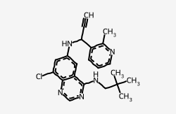 C#CC(Nc1cc(Cl)c2ncnc(NCC(C)(C)C)c2c1)c1cccnc1C